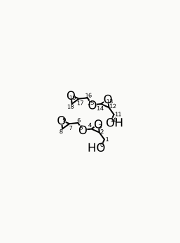 OCC1OC1OCC1CO1.OCC1OC1OCC1CO1